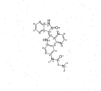 CN(C)CC(=O)N(C)c1ccc(NC(=C2C(=O)Nc3ccccc32)c2cnccn2)cc1